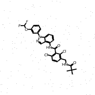 CC(C)(C)C(=O)NCc1ccc(Cl)c(C(=O)Nc2cccc3c2cnn3-c2cccc(OC(F)F)c2)c1Cl